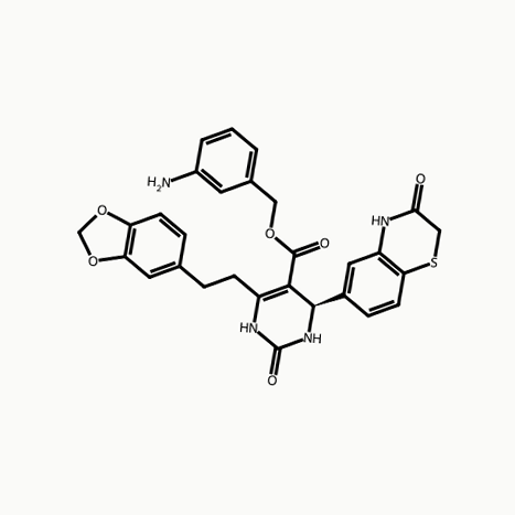 Nc1cccc(COC(=O)C2=C(CCc3ccc4c(c3)OCO4)NC(=O)N[C@@H]2c2ccc3c(c2)NC(=O)CS3)c1